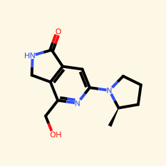 C[C@@H]1CCCN1c1cc2c(c(CO)n1)CNC2=O